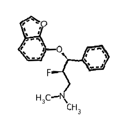 CN(C)C[C@@H](F)[C@@H](Oc1cccc2ccoc12)c1ccccc1